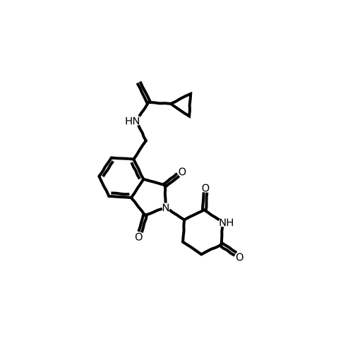 C=C(NCc1cccc2c1C(=O)N(C1CCC(=O)NC1=O)C2=O)C1CC1